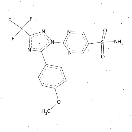 COc1ccc(-c2nc(C(F)(F)F)nn2-c2ncc(S(N)(=O)=O)cn2)cc1